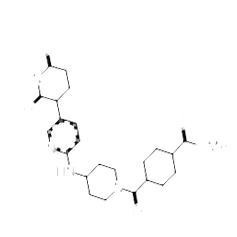 COC(=O)C1CCC(C(=O)N2CCC(Nc3ccc(C4CCC(=O)NC4=O)cn3)CC2)CC1